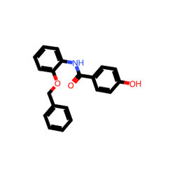 O=C(Nc1ccccc1OCc1ccccc1)c1ccc(O)cc1